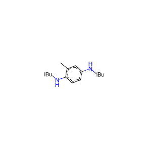 CCC(C)Nc1ccc(NC(C)CC)c(C)c1